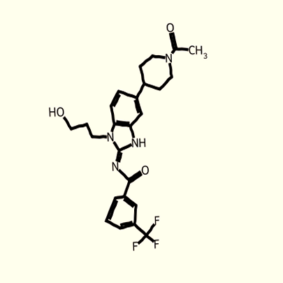 CC(=O)N1CCC(c2ccc3c(c2)[nH]/c(=N\C(=O)c2cccc(C(F)(F)F)c2)n3CCCO)CC1